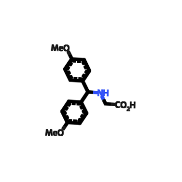 COc1ccc(C(NCC(=O)O)c2ccc(OC)cc2)cc1